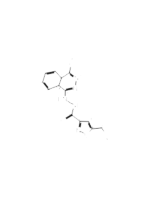 O=C(NNC1=NN=C(Cl)C2C=CC=CC12)c1cc(CO)on1